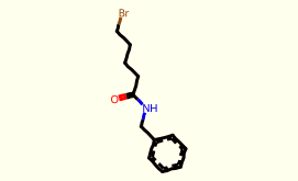 O=C(CCCCBr)NCc1ccccc1